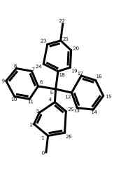 Cc1ccc(C(c2ccccc2)(c2ccccc2)c2ccc(C)cc2)cc1